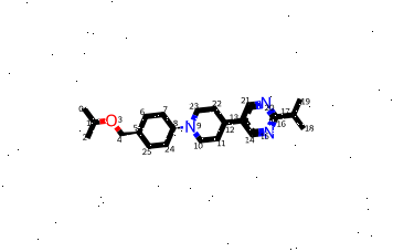 CC(C)OC[C@H]1CC[C@H](N2CCC(c3cnc(C(C)C)nc3)CC2)CC1